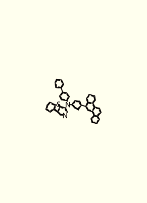 c1ccc(-c2ccc(N(c3ccc(-c4cc5c6ccccc6ccc5c5ccccc45)cc3)c3cncc4c3sc3ccccc34)cc2)cc1